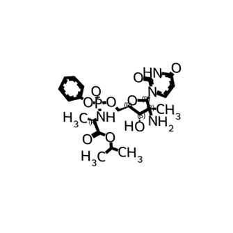 CC(C)OC(=O)[C@@H](C)NP(=O)(OC[C@H]1O[C@@H](n2ccc(=O)[nH]c2=O)[C@](C)(N)[C@@H]1O)Oc1ccccc1